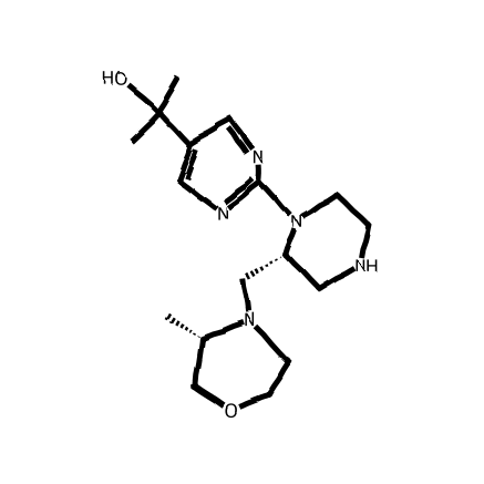 C[C@H]1COCCN1C[C@H]1CNCCN1c1ncc(C(C)(C)O)cn1